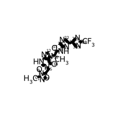 Cc1noc(Cn2c(=O)[nH]c3ncn(C(C)C(=O)Nc4cncc(-c5cnc(C(F)(F)F)nc5)n4)c3c2=O)n1